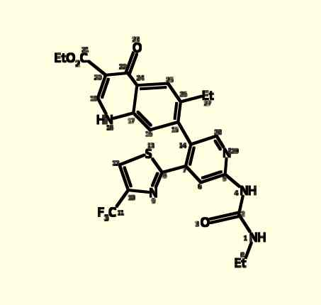 CCNC(=O)Nc1cc(-c2nc(C(F)(F)F)cs2)c(-c2cc3[nH]cc(C(=O)OCC)c(=O)c3cc2CC)cn1